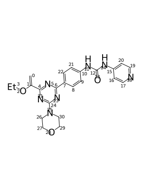 C=C(OCC)c1nc(-c2ccc(NC(=O)Nc3ccncc3)cc2)nc(N2CCOCC2)n1